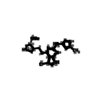 CO[C@H]1CNC[C@@H]1COc1nc(Nc2cnn(C)c2)nc2[nH]cc(Cl)c12